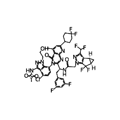 Cc1cc(C2CCC(F)(F)CC2)nc2nc([C@H](Cc3cc(F)cc(F)c3)NC(=O)Cn3nc(C(F)F)c4c3C(F)(F)[C@@H]3C[C@H]43)n(-c3ccc(Cl)c4c(NS(C)(=O)=O)nn(CCO)c34)c(=O)c12